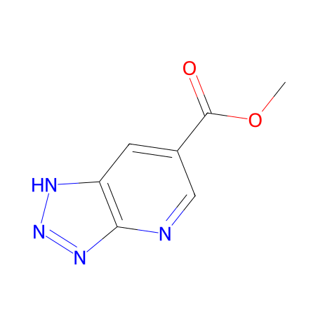 COC(=O)c1cnc2nn[nH]c2c1